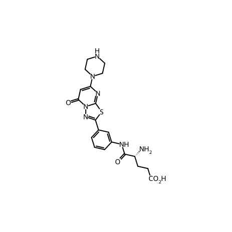 N[C@H](CCC(=O)O)C(=O)Nc1cccc(-c2nn3c(=O)cc(N4CCNCC4)nc3s2)c1